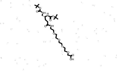 CC(C)(C)OC(=O)NC[C@@H](CCC(=O)NCCOCCOCCOCCOCC(=O)O)NC(=O)OC(C)(C)C